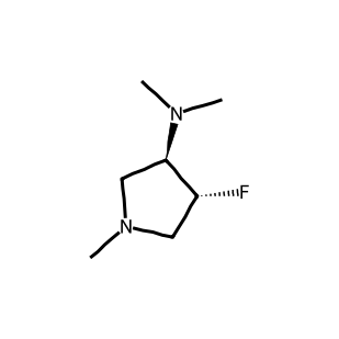 CN1C[C@@H](F)[C@H](N(C)C)C1